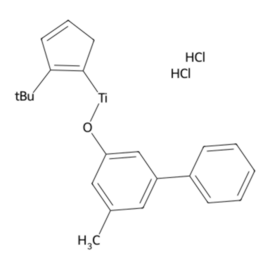 Cc1cc([O][Ti][C]2=C(C(C)(C)C)C=CC2)cc(-c2ccccc2)c1.Cl.Cl